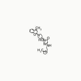 C[C@H](CC(=O)N1CCC(O)(Cn2cnc(NCCN3CCC[C@H]3C)cc2=O)CC1)c1ccccc1